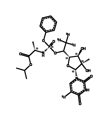 [2H]c1cn([C@@H]2O[C@H](C(O[P@@](=O)(N[C@@H](C)C(=O)OC(C)C)Oc3ccccc3)C([2H])([2H])[2H])[C@@H](O)[C@@]2(C)O)c(=O)[nH]c1=O